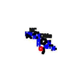 C=CC(=O)Nc1cc(Nc2ncc(C#N)c(NC3(C)CC3)n2)c(OC)cc1N(C)CCN(C)C